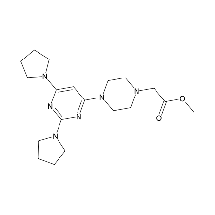 COC(=O)CN1CCN(c2cc(N3CCCC3)nc(N3CCCC3)n2)CC1